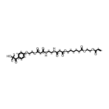 C=CC(=O)OCCOC(=O)CCCCCOC(=O)CC(=O)NCCNC(=O)CC(=O)OCCOc1ccc(C(=O)C(C)(C)O)cc1